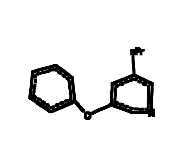 CCCc1cncc(Oc2ccccc2)c1